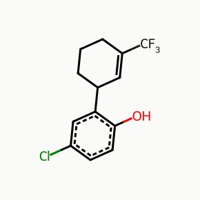 Oc1ccc(Cl)cc1C1C=C(C(F)(F)F)CCC1